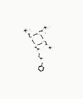 CC(C(=O)NCCC(=O)OCc1ccccc1)N1CCN(CC(=O)OC(C)(C)C)CCN(CC(=O)OC(C)(C)C)CCN(CC(=O)OC(C)(C)C)CC1